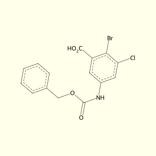 O=C(Nc1cc(Cl)c(Br)c(C(=O)O)c1)OCc1ccccc1